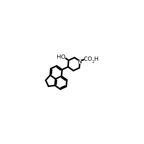 O=C(O)N1CCC(c2ccc3c4c(cccc24)CC3)C(O)C1